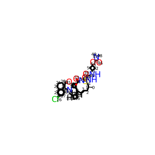 C[C@H]1C/C=C/[C@@H]2c3c(ccc4c3N(C[C@@H]3CC[C@H]32)C[C@@]2(CCCc3cc(Cl)ccc32)CO4)C(=O)N=S(=O)(NC(=O)N[C@H]2C[C@H](OC(=O)N(C)C)C2)C1